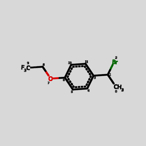 CC(Br)c1ccc(OCC(F)(F)F)cc1